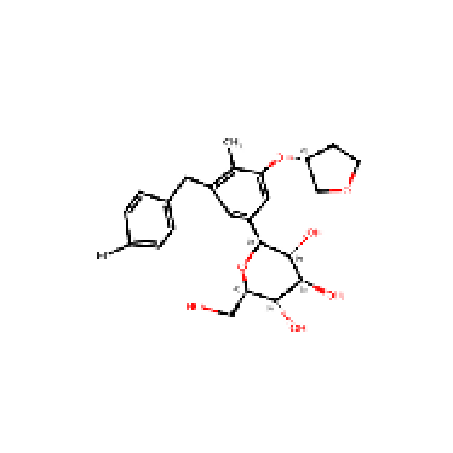 CCc1ccc(Cc2cc([C@@H]3O[C@H](CO)[C@@H](O)[C@H](O)[C@H]3O)cc(O[C@@H]3CCOC3)c2C)cc1